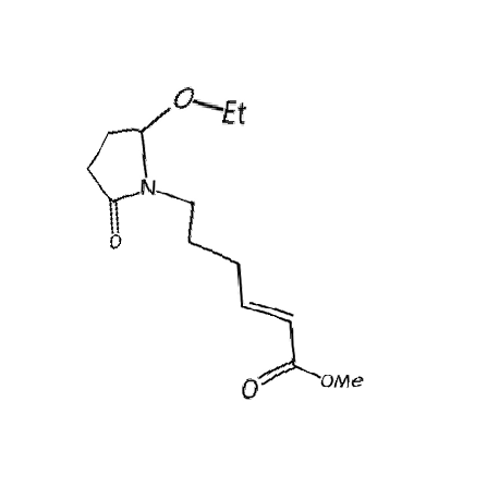 CCOC1CCC(=O)N1CCCC=CC(=O)OC